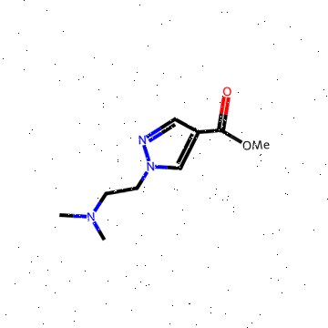 COC(=O)c1cnn(CCN(C)C)c1